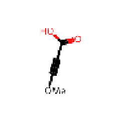 [CH2]OC#CC(=O)O